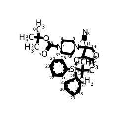 CC(C)(C)OC(=O)N1CCN([C@@]2(C#N)COC[C@H]2O[Si](c2ccccc2)(c2ccccc2)C(C)(C)C)CC1